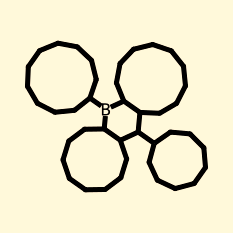 C1CCCCCC(B2C3CCCCCCCCCC3C(C3CCCCCCCC3)C3CCCCCCCCC23)CCCC1